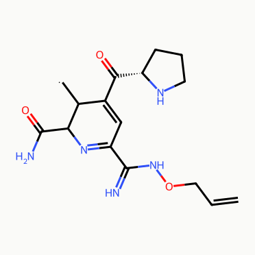 [CH2]C1C(C(=O)[C@@H]2CCCN2)=CC(C(=N)NOCC=C)=NC1C(N)=O